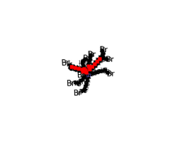 CCCCCCCCCC(CC=CCC=CCCBr)(CCCCCCCCCCC=C=CCBr)C(CCCCCCCCC=C=CCBr)(CCCCCCCCCC=C=CCBr)/C(CCCCCCCC=C=CCBr)=C(/CCCCCCC=C=CCBr)C(Br)(CCCCC=C=CCBr)CCCCCC=C=CCBr